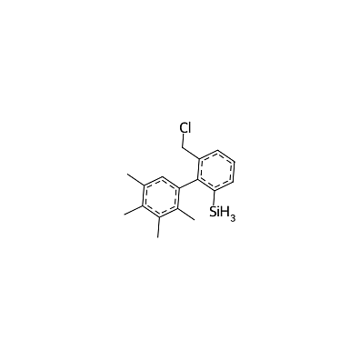 Cc1cc(-c2c([SiH3])cccc2CCl)c(C)c(C)c1C